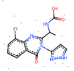 CC(NC(=O)O)c1nc2c(Cl)cccc2c(=O)n1-c1cc[nH]n1